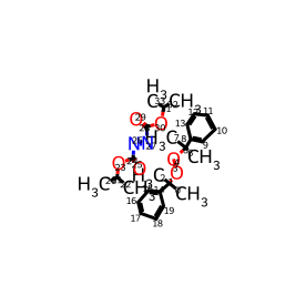 CC(C)(OOC(C)(C)c1ccccc1)c1ccccc1.CC(C)OC(=O)N=NC(=O)OC(C)C